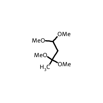 CO[C](CC(C)(OC)OC)OC